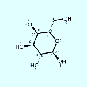 OC[C@@H]1O[C@@H](O)[C@H](O)[C@@H](O)[C@H]1O